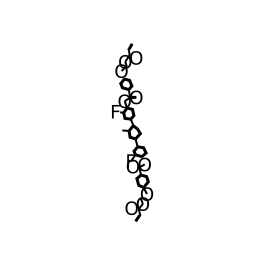 C=CC(=O)OCOc1ccc(C(=O)Oc2ccc(-c3ccc(-c4ccc(OC(=O)c5ccc(OCOC(=O)C=C)cc5)c(F)c4)c(C)c3)cc2F)cc1